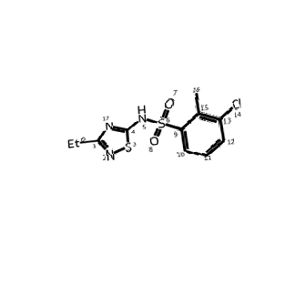 CCc1nsc(NS(=O)(=O)c2cccc(Cl)c2C)n1